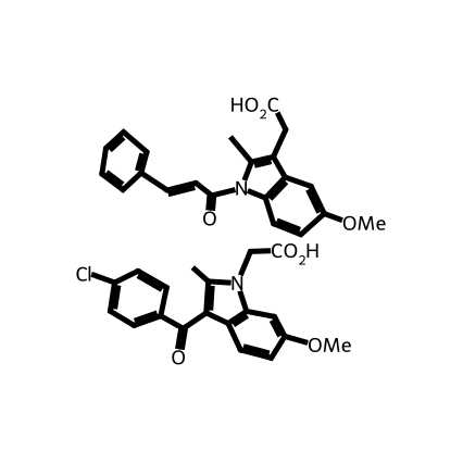 COc1ccc2c(C(=O)c3ccc(Cl)cc3)c(C)n(CC(=O)O)c2c1.COc1ccc2c(c1)c(CC(=O)O)c(C)n2C(=O)/C=C/c1ccccc1